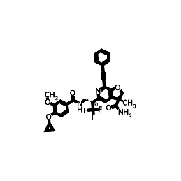 COc1cc(C(=O)NC[C@H](c2cc3c(c(C#Cc4ccccc4)n2)OC[C@]3(C)C(N)=O)C(F)(F)F)ccc1OC1CC1